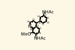 COc1c(NC(C)=O)ccc2c(-c3cccc(NC(C)=O)c3)ccnc12